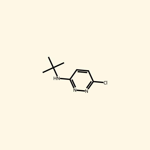 CC(C)(C)Nc1ccc(Cl)nn1